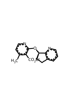 CCOC(=O)c1c(C)ccnc1OC1CCc2cccnc21